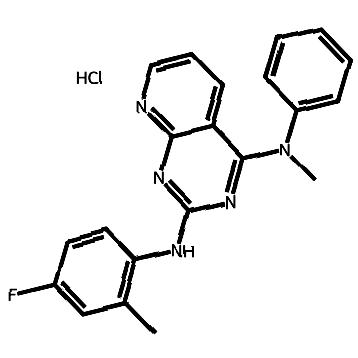 Cc1cc(F)ccc1Nc1nc(N(C)c2ccccc2)c2cccnc2n1.Cl